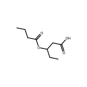 CCCC(=O)OC(CC)CC(=O)O